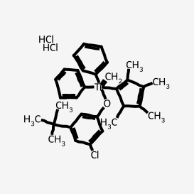 Cl.Cl.[CH2]=[Ti]([O]c1cc(Cl)cc(C(C)(C)C)c1)([C]1=C(C)C(C)=C(C)C1C)([c]1ccccc1)[c]1ccccc1